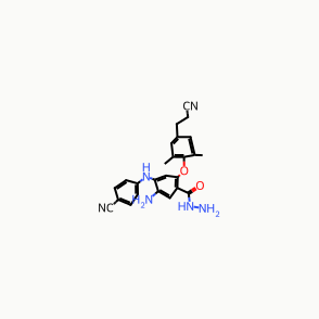 Cc1cc(CCC#N)cc(C)c1Oc1cc(Nc2ccc(C#N)cc2)c(N)cc1C(=O)NN